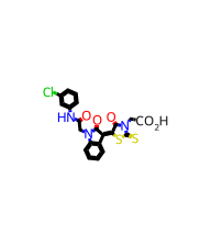 O=C(O)CN1C(=O)C(=C2C(=O)N(CC(=O)Nc3cccc(Cl)c3)c3ccccc32)SC1=S